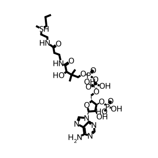 CCC[SH](C)CCNC(=O)CCNC(=O)C(O)C(C)(C)COP(=O)(O)OP(=O)(O)OC[C@H]1O[C@@H](n2cnc3c(N)ncnc32)[C@H](O)[C@@H]1OP(=O)(O)O